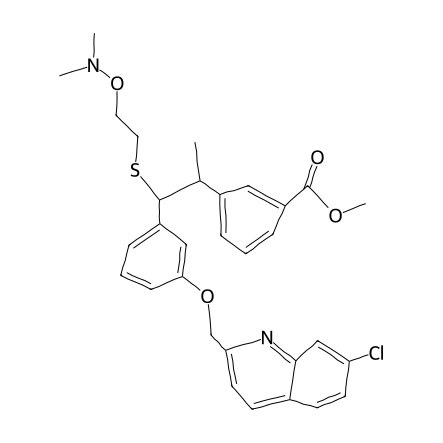 COC(=O)c1cccc(C(C)C(SCCON(C)C)c2cccc(OCc3ccc4ccc(Cl)cc4n3)c2)c1